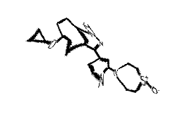 [O-][S+]1CCN(c2cc(-c3n[nH]c4ccc(OC5CC5)cc34)ccn2)CC1